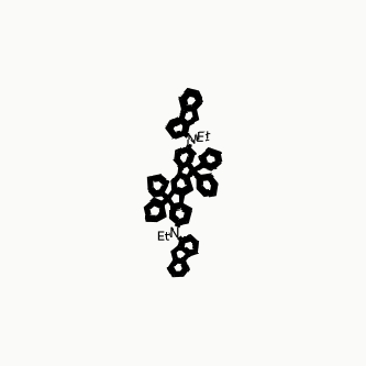 CCN(c1ccc2c(c1)C(c1ccccc1)(c1ccccc1)c1cc3c(cc1-2)C(c1ccccc1)(c1ccccc1)c1cc(N(CC)c2cccc4c2Cc2ccccc2-4)ccc1-3)c1cccc2c1Cc1ccccc1-2